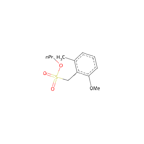 CCCOS(=O)(=O)Cc1c(C)cccc1OC